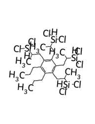 CCCc1c(CCC)c(CC(C)[SiH](Cl)Cl)c(CC(C)[SiH](Cl)Cl)c(CC(C)[SiH](Cl)Cl)c1CC(C)[SiH](Cl)Cl